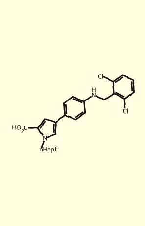 CCCCCCCn1cc(-c2ccc(NCc3c(Cl)cccc3Cl)cc2)cc1C(=O)O